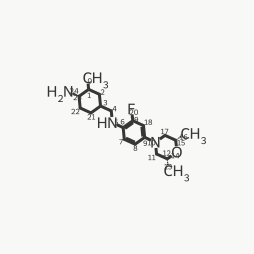 CC1CC(CNc2ccc(N3C[C@@H](C)O[C@@H](C)C3)cc2F)CC[C@H]1N